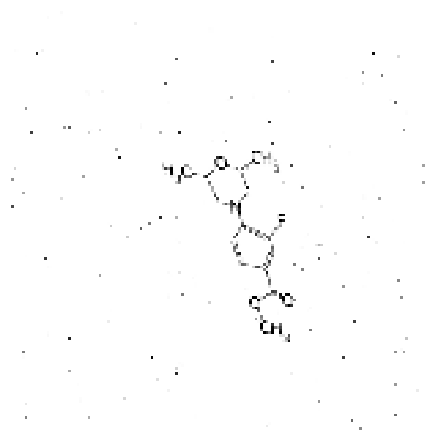 COC(=O)c1ccc(N2CC(C)OC(C)C2)c(F)c1